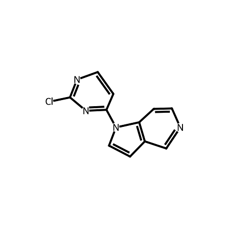 Clc1nccc(-n2ccc3cnccc32)n1